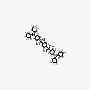 CCC(C)(c1ccc(N(c2ccccc2)c2ccccc2)cc1)c1ccc(C(CC)(CC)c2ccc(N(C3=CCCC=C3)c3ccccc3)cc2)cc1